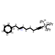 CC(C)[Si](C#CCCC/C=C/Cc1ccccc1)(C(C)C)C(C)C